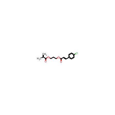 C=C(C)C(=O)OCCCOC(=O)/C=C/c1ccc(Cl)cc1